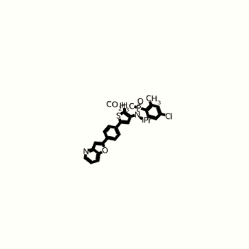 Cc1cc(Cl)ccc1P(C)(=O)N(c1cc(-c2ccc(-c3cc4ncccc4o3)cc2)sc1C(=O)O)C(C)C